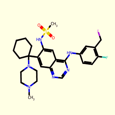 CN1CCN(C2(c3cc4ncnc(Nc5ccc(F)c(CI)c5)c4cc3NS(C)(=O)=O)CCCCC2)CC1